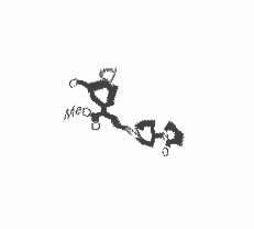 COC(=O)/C(=C\CN1CCC(N2CCCC2=O)CC1)c1ccc(Cl)c(Cl)c1